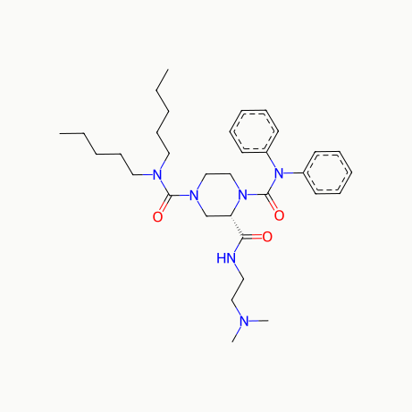 CCCCCN(CCCCC)C(=O)N1CCN(C(=O)N(c2ccccc2)c2ccccc2)[C@H](C(=O)NCCN(C)C)C1